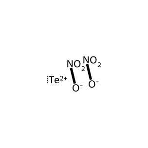 O=[N+]([O-])[O-].O=[N+]([O-])[O-].[Te+2]